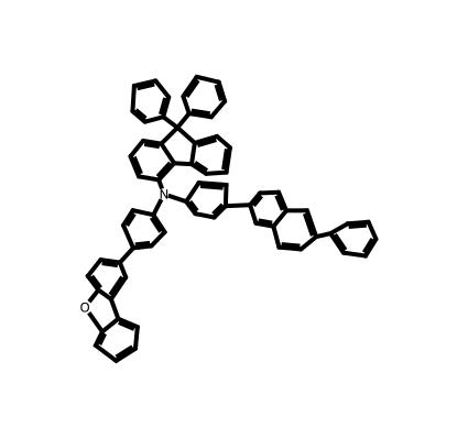 c1ccc(-c2ccc3cc(-c4ccc(N(c5ccc(-c6ccc7oc8ccccc8c7c6)cc5)c5cccc6c5-c5ccccc5C6(c5ccccc5)c5ccccc5)cc4)ccc3c2)cc1